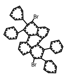 Brc1c(-c2ccccc2)c(-c2ccccc2)c2c3cccc4c(Br)c(-c5ccccc5)c(-c5ccccc5)c(c5cccc1c52)c43